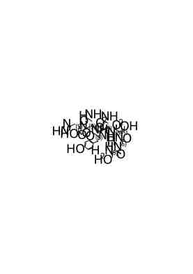 C[C@H](NC(=O)[C@@H](N)CO)C(=O)N[C@H](C(=O)N[C@@H](CC(N)=O)C(=O)N[C@@H](Cc1ccc(O)cc1)C(=O)N[C@@H](CC(N)=O)C(=O)N[C@@H](Cc1c[nH]cn1)C(=O)O)[C@@H](C)O